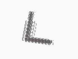 CC[N+](C)(CC)CC.CC[N+](C)(CC)CC.CC[N+](C)(CC)CC.CC[N+](C)(CC)CC.CC[N+](C)(CC)CC.CC[N+](C)(CC)CC.CC[N+](C)(CC)CC.CC[N+](C)(CC)CC.CC[N+](C)(CC)CC.CC[N+](C)(CC)CC.CC[N+](C)(CC)CC.CC[N+](C)(CC)CC.[O-]B([O-])[O-].[O-]B([O-])[O-].[O-]B([O-])[O-].[O-]B([O-])[O-]